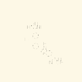 Cc1cc(C(=N)NO)ccc1-c1cccc(-c2nc3cc(C(=N)NO)ccc3[nH]2)c1